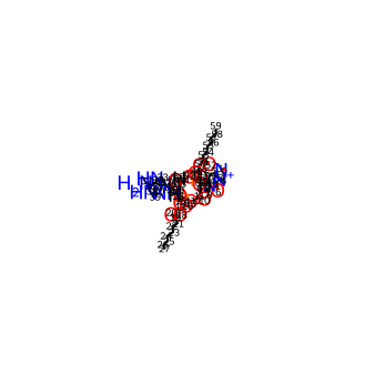 C=NC1=[N+](C)C(=O)[N+]([C@@H]2COC3COP(=O)(OCOC(=O)CCCCCCC)O[C@H]4C[C@H](N5CNC6C(N)NCNC65)O[C@@H]4COP(=O)(OCOC(=O)CCCCCCC)O[C@H]32)=CC1